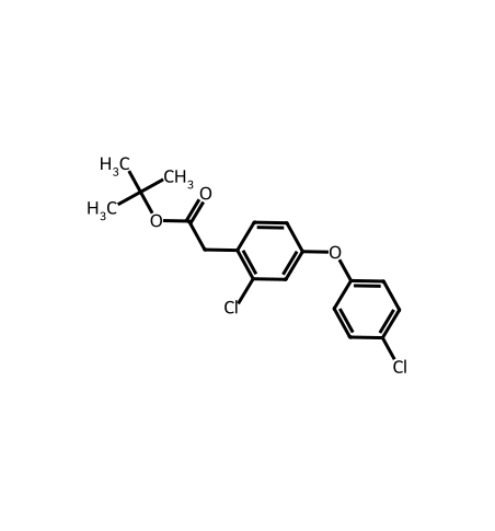 CC(C)(C)OC(=O)Cc1ccc(Oc2ccc(Cl)cc2)cc1Cl